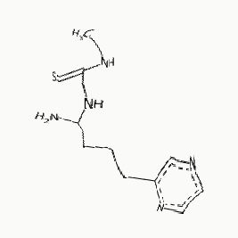 CNC(=S)NC(N)CCCc1cnccn1